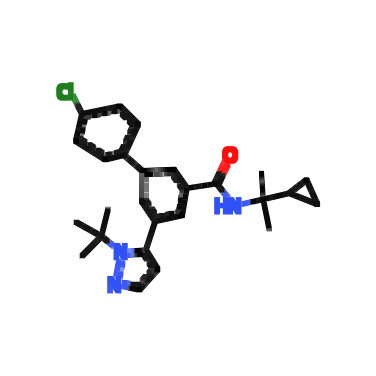 CC(C)(NC(=O)c1cc(-c2ccc(Cl)cc2)cc(-c2ccnn2C(C)(C)C)c1)C1CC1